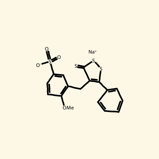 COc1ccc(S(=O)(=O)[O-])cc1Cc1c(-c2ccccc2)ssc1=S.[Na+]